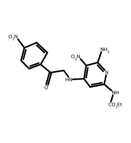 CCOC(=O)Nc1cc(NCC(=O)c2ccc([N+](=O)[O-])cc2)c([N+](=O)[O-])c(N)n1